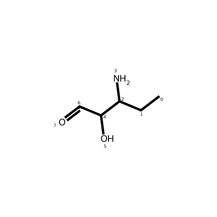 CCC(N)C(O)[C]=O